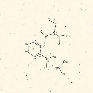 CCN(C(C)C)C(C)C.CN(C)c1ccccn1.C[S+](C)[O-]